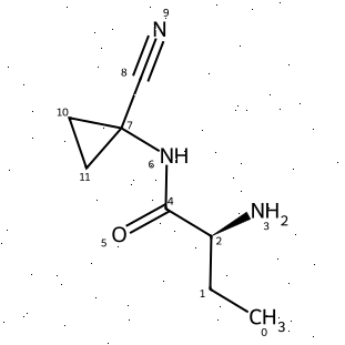 CC[C@H](N)C(=O)NC1(C#N)CC1